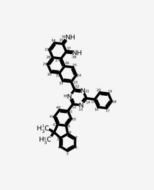 CC1(C)c2ccccc2-c2cc(-c3nc(-c4ccccc4)nc(-c4ccc5c6c(ccc5c4)C=CC(=N)C6=N)n3)ccc21